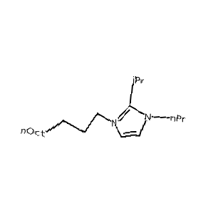 CCCCCCCCCCC[n+]1ccn(CCC)c1C(C)C